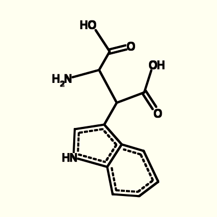 NC(C(=O)O)C(C(=O)O)c1c[nH]c2ccccc12